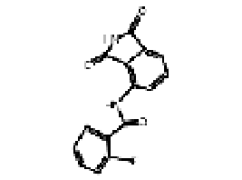 O=C(Nc1cccc2c1C(=O)NC2=O)c1ccccc1F